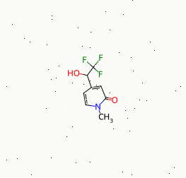 Cn1ccc(C(O)C(F)(F)F)cc1=O